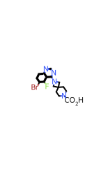 O=C(O)N1CCC2(CC1)CN(c1ncnc3ccc(Br)c(F)c13)C2